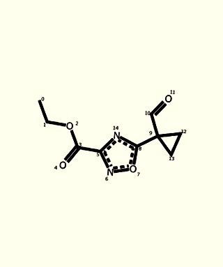 CCOC(=O)c1noc(C2(C=O)CC2)n1